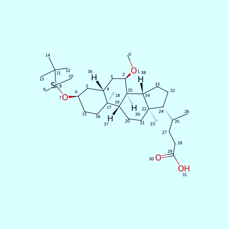 CO[C@@H]1C[C@H]2C[C@H](O[Si](C)(C)C(C)(C)C)CC[C@]2(C)[C@H]2CC[C@]3(C)[C@@H](C(C)CCC(=O)O)CC[C@H]3[C@H]12